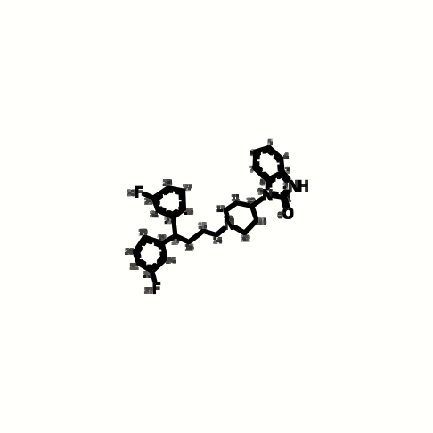 O=c1[nH]c2ccccc2n1C1CCN(CCCC(c2cccc(F)c2)c2cccc(F)c2)CC1